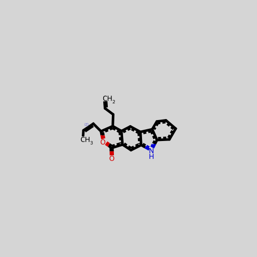 C=CCc1c(/C=C\C)oc(=O)c2cc3[nH]c4ccccc4c3cc12